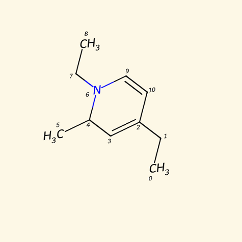 CCC1=CC(C)N(CC)C=C1